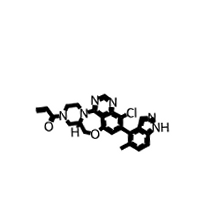 C=CC(=O)N1CCN2c3ncnc4c(Cl)c(-c5c(C)ccc6[nH]ncc56)cc(c34)OC[C@@H]2C1